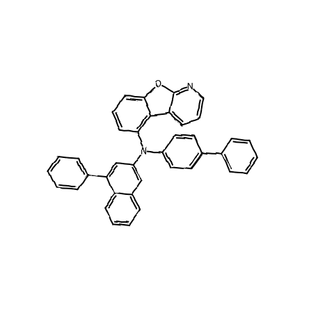 c1ccc(-c2ccc(N(c3cc(-c4ccccc4)c4ccccc4c3)c3cccc4oc5ncccc5c34)cc2)cc1